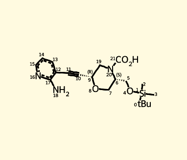 CC(C)(C)[Si](C)(C)OC[C@@H]1CO[C@H](C#Cc2cccnc2N)CN1C(=O)O